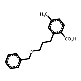 Cc1ccc(C(=O)O)c(CCCNCc2ccccc2)c1